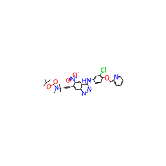 CN(C(=O)OC(C)(C)C)C(C)(C)C#Cc1cc2ncnc(Nc3ccc(OCc4ccccn4)c(Cl)c3)c2cc1[N+](=O)[O-]